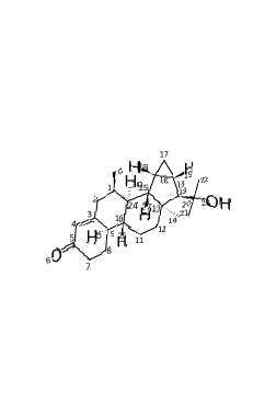 C[C@@H]1CC2=CC(=O)CC[C@@H]2[C@H]2CC[C@@]3(C)[C@@H]([C@@H]4C[C@@H]4[C@H]3C(C)(C)O)[C@@H]21